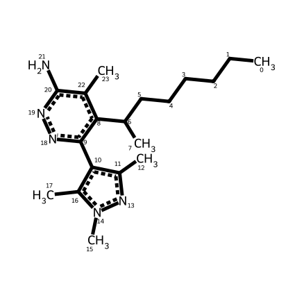 CCCCCCC(C)c1c(-c2c(C)nn(C)c2C)nnc(N)c1C